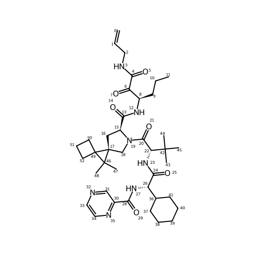 C=CCNC(=O)C(=O)[C@@H](CCC)NC(=O)[C@@H]1C[C@@]2(CN1C(=O)[C@@H](NC(=O)[C@@H](NC(=O)c1cnccn1)C1CCCCC1)C(C)(C)C)C(C)(C)C21CCC1